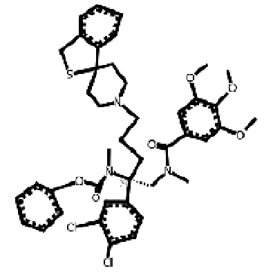 COc1cc(C(=O)N(C)C[C@](CCCN2CCC3(CC2)SCc2ccccc23)(c2ccc(Cl)c(Cl)c2)N(C)C(=O)Oc2ccccc2)cc(OC)c1OC